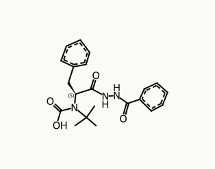 CC(C)(C)N(C(=O)O)[C@@H](Cc1ccccc1)C(=O)NNC(=O)c1ccccc1